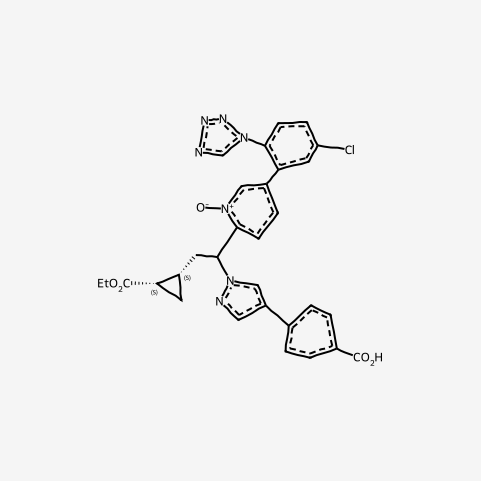 CCOC(=O)[C@H]1C[C@H]1CC(c1ccc(-c2cc(Cl)ccc2-n2cnnn2)c[n+]1[O-])n1cc(-c2ccc(C(=O)O)cc2)cn1